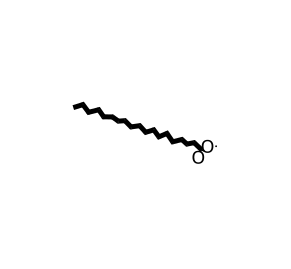 CCCCCCCCCCCCCCCCCCC([O])=O